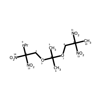 CCCC(COC(C)(C)OCC(C)([N+](=O)[O-])[N+](=O)[O-])([N+](=O)[O-])[N+](=O)[O-]